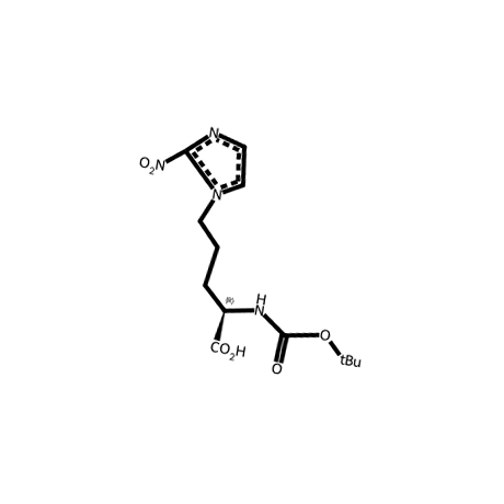 CC(C)(C)OC(=O)N[C@H](CCCn1ccnc1[N+](=O)[O-])C(=O)O